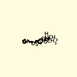 CC(C)NC(=O)ON1CCc2sc(OCCCN3CCCC3)cc2C1